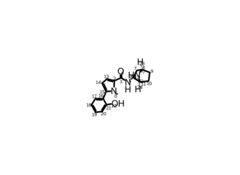 Cn1c(C(=O)N[C@@H]2C[C@H]3CC[C@@H]2N3)ccc1-c1ccccc1O